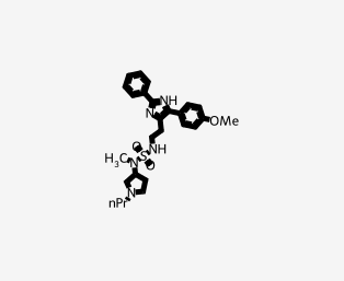 CCCN1CCC(N(C)S(=O)(=O)NCCc2nc(-c3ccccc3)[nH]c2-c2ccc(OC)cc2)C1